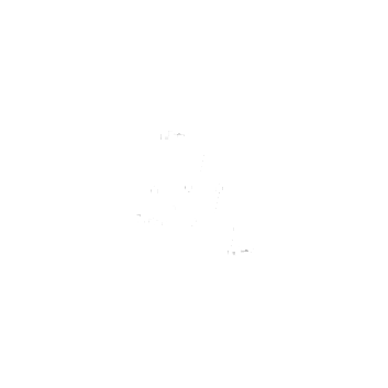 CCCCCCCCCCCCOCCCCCCCCCCCC.O=S(=O)([O-])[O-].[Zn+2]